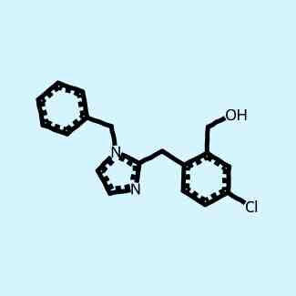 OCc1cc(Cl)ccc1Cc1nccn1Cc1ccccc1